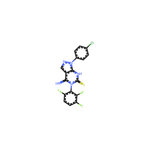 N=c1c2cnn(-c3ccc(Cl)cc3)c2[nH]c(=S)n1-c1c(F)ccc(F)c1F